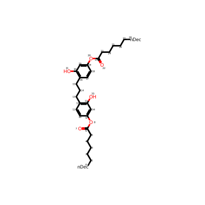 CCCCCCCCCCCCCCCC(=O)Oc1ccc(CCCc2ccc(OC(=O)CCCCCCCCCCCCCCC)cc2O)c(O)c1